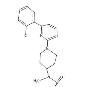 CN(C(=O)O)C1CCN(c2cccc(-c3ccccc3Cl)n2)CC1